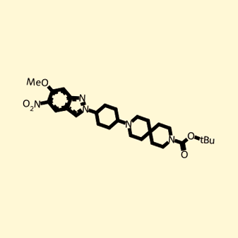 COc1cc2nn(C3CCC(N4CCC5(CCN(C(=O)OC(C)(C)C)CC5)CC4)CC3)cc2cc1[N+](=O)[O-]